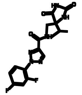 CC(C)C1(CNC(=O)c2cnn(-c3ccc(F)cc3F)n2)NC(=O)NC1=O